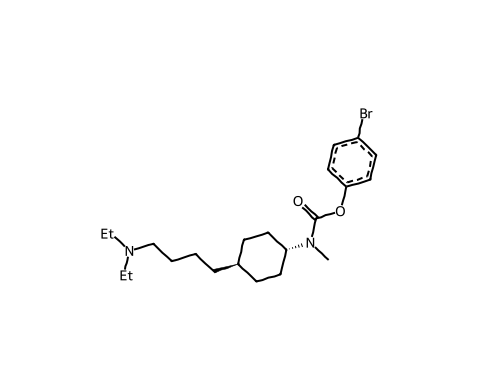 CCN(CC)CCCC[C@H]1CC[C@H](N(C)C(=O)Oc2ccc(Br)cc2)CC1